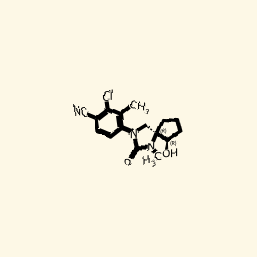 Cc1c(N2C[C@@]3(CCC[C@H]3O)N(C)C2=O)ccc(C#N)c1Cl